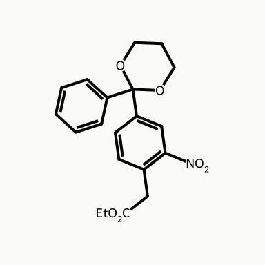 CCOC(=O)Cc1ccc(C2(c3ccccc3)OCCCO2)cc1[N+](=O)[O-]